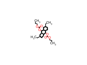 CCCOC(=O)Oc1c2ccc(CC)cc2c(OC(=O)OCCC)c2cc(CC)ccc12